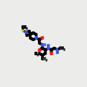 CNCC(=O)NC(CC(C)C)C(=O)NCC(=O)N1CCC2(CC1)CN(SC)C2